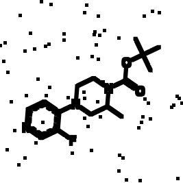 CC1CN(c2ccncc2F)CCN1C(=O)OC(C)(C)C